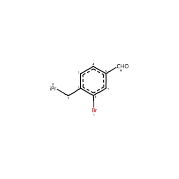 CC(C)Cc1ccc(C=O)cc1Br